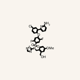 COc1ccc(CN(c2ncns2)S(=O)(=O)c2cc(F)c(Oc3ccc(Cl)cc3-c3cccc(N)n3)cc2F)c(CO)c1